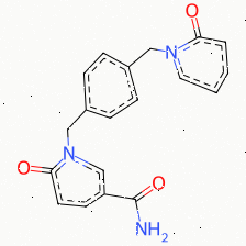 NC(=O)c1ccc(=O)n(Cc2ccc(Cn3ccccc3=O)cc2)c1